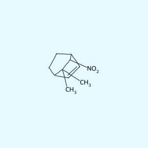 CC1(C)C2C=CC(CC2)C1[N+](=O)[O-]